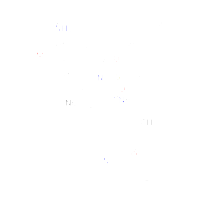 CCc1cnc(-c2cc(C#N)c([N+]3(S(=O)(=O)Cc4ccccc4)CCC(C(N)=O)CC3)nc2C)o1